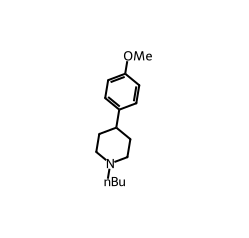 CCCCN1CCC(c2ccc(OC)cc2)CC1